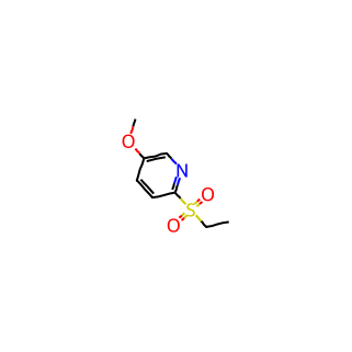 CCS(=O)(=O)c1ccc(OC)cn1